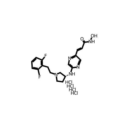 Cl.Cl.Cl.Cl.O=C(C=Cc1cnc(N[C@@H]2CCN(CCc3c(F)cccc3F)C2)cn1)NO